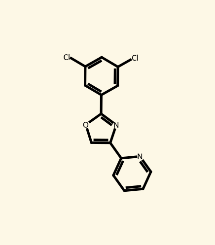 Clc1cc(Cl)cc(-c2nc(-c3ccccn3)co2)c1